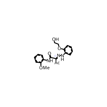 COc1ccccc1NC(=O)/C(=N/Nc1ccccc1OCCO)C(C)=O